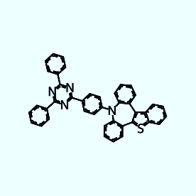 c1ccc(-c2nc(-c3ccccc3)nc(-c3ccc(N4c5ccccc5-c5sc6ccccc6c5-c5ccccc54)cc3)n2)cc1